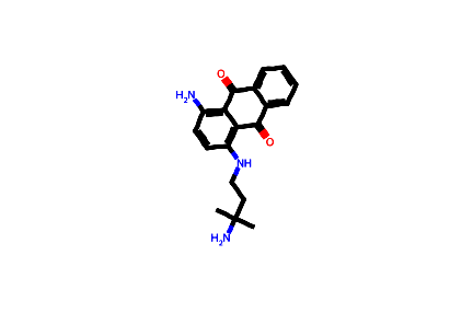 CC(C)(N)CCNc1ccc(N)c2c1C(=O)c1ccccc1C2=O